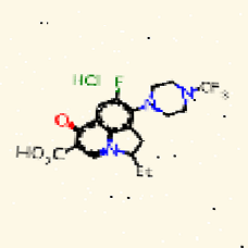 CCC1Cc2c(N3CCN(C(F)(F)F)CC3)c(F)cc3c(=O)c(C(=O)O)cn1c23.Cl